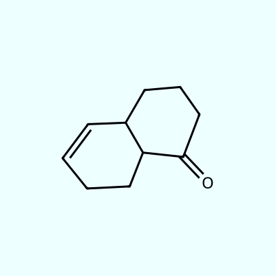 O=C1CCCC2C=CCCC12